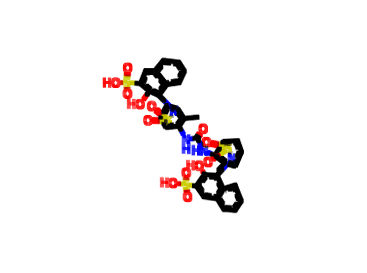 Cc1c2ccc(c1NC(=O)Nc1c3ccc(c1C)N(c1c(O)c(S(=O)(=O)O)cc4ccccc14)S3(=O)=O)S(=O)(=O)N2c1c(O)c(S(=O)(=O)O)cc2ccccc12